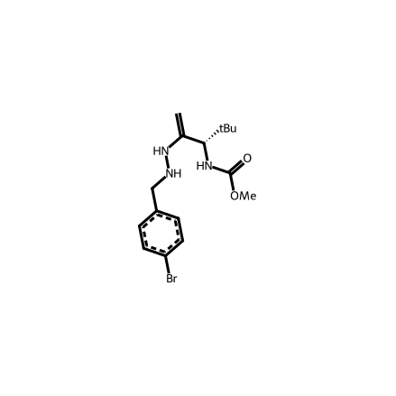 C=C(NNCc1ccc(Br)cc1)[C@@H](NC(=O)OC)C(C)(C)C